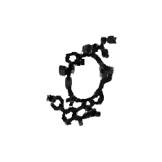 CCn1c(-c2cc(N3CCNCC3)cnc2[C@H](C)OC)c2c3cc(ccc31)-c1csc(n1)C[C@H](NC(=O)OC(C)(C)C)C(=O)N1CCC[C@H](N1)C(=O)OCC(C)(C)C2